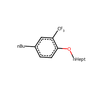 CCCCCCCOc1ccc(CCCC)cc1C(F)(F)F